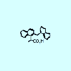 CC(C(=O)O)c1c(Cc2cccc3ccccc23)ccc2ccccc12